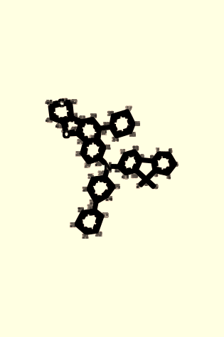 CC1(C)c2ccccc2-c2ccc(N(c3ccc(-c4ccccc4)cc3)c3ccc4c(c3)c(-c3ccccc3)cc3c5ccccc5oc43)cc21